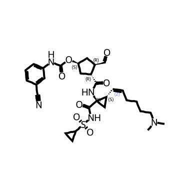 CN(C)CCCC/C=C\[C@@H]1C[C@]1(NC(=O)[C@@H]1C[C@@H](OC(=O)Nc2cccc(C#N)c2)C[C@H]1C=O)C(=O)NS(=O)(=O)C1CC1